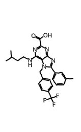 Cc1cccc(-c2nc3nc(C(=O)O)nc(NCCC(C)C)c3n2Cc2ccc(C(F)(F)F)cc2)c1